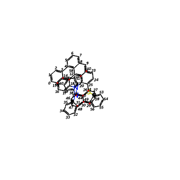 c1ccc(-c2cccc3cccc(-c4ccccc4N(c4ccccc4-c4cccc5c6ccccc6n(-c6ccccc6)c45)c4cccc5c4sc4ccccc45)c23)cc1